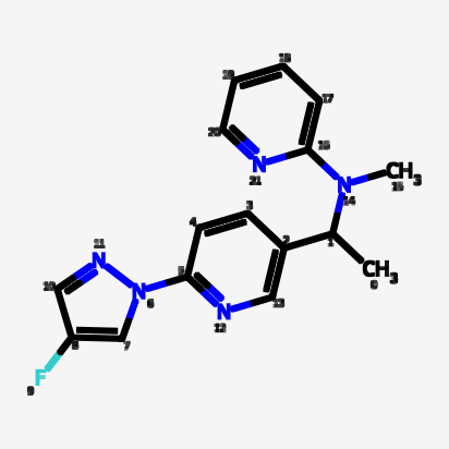 CC(c1ccc(-n2cc(F)cn2)nc1)N(C)c1ccccn1